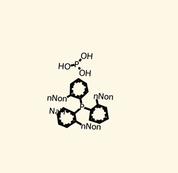 CCCCCCCCCc1ccccc1P(c1ccccc1CCCCCCCCC)c1ccccc1CCCCCCCCC.OP(O)O.[NaH]